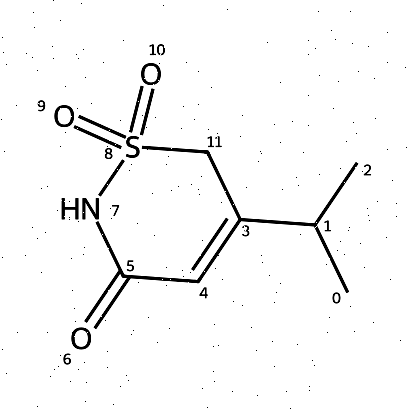 CC(C)C1=CC(=O)NS(=O)(=O)C1